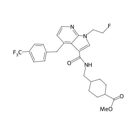 COC(=O)C1CCC(CNC(=O)c2cn(CCF)c3nccc(Cc4ccc(C(F)(F)F)cc4)c23)CC1